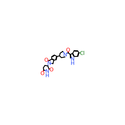 O=C1CCC(N2Cc3cc(C4CCN(C(=O)c5c[nH]c6cc(Cl)ccc56)CC4)ccc3C2=O)C(=O)N1